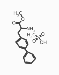 COC(=O)C(N)Cc1ccc(-c2ccccc2)cc1.CS(=O)(=O)O